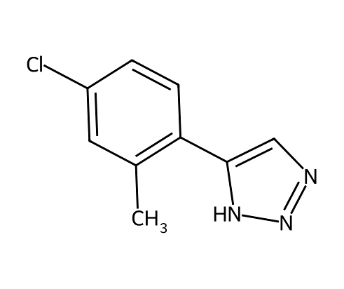 Cc1cc(Cl)ccc1-c1cnn[nH]1